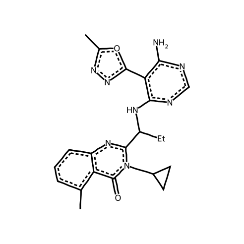 CCC(Nc1ncnc(N)c1-c1nnc(C)o1)c1nc2cccc(C)c2c(=O)n1C1CC1